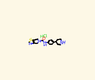 Cl.O=C(Nc1ccc(C2CCNCC2)cc1)N1Cc2ncsc2C1